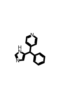 c1ccc(C(c2ccncc2)c2cnc[nH]2)cc1